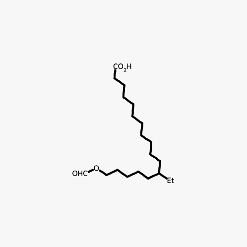 CCC(CCCCCCCCCCC(=O)O)CCCCCOC=O